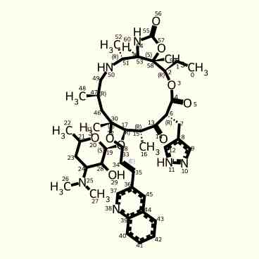 CC[C@H]1OC(=O)[C@H](Cc2cn[nH]c2)C(=O)[C@H](C)[C@@H](O[C@@H]2OC(C)CC(N(C)C)C2O)[C@](C)(OC/C=C/c2cnc3ccccc3c2)C[C@@H](C)CN[C@H](C)[C@H]2NC(=O)O[C@@]21C